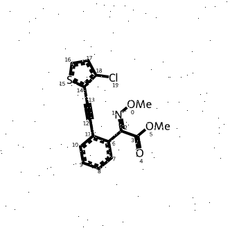 CON=C(C(=O)OC)c1ccccc1C#Cc1sccc1Cl